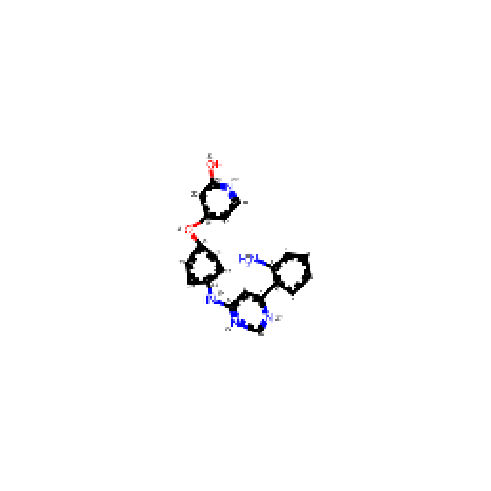 Nc1ccccc1-c1cc(Nc2ccc(Oc3ccnc(O)c3)cc2)ncn1